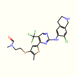 Cc1sc(-c2nc(Nc3cc4c(cc3Cl)CNCC4)ncc2C(F)(F)F)cc1SCCN(C)C=O